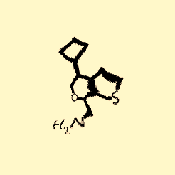 NCC1OCC(C2CCC2)c2ccsc21